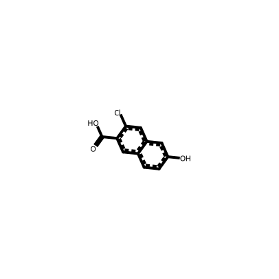 O=C(O)c1cc2ccc(O)cc2cc1Cl